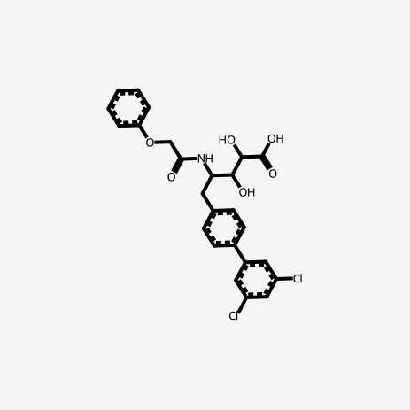 O=C(COc1ccccc1)NC(Cc1ccc(-c2cc(Cl)cc(Cl)c2)cc1)C(O)C(O)C(=O)O